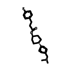 CN(C)Cc1ccc([C@H]2CC[C@H](OC(=O)CCc3ccc(F)cc3)CC2)cc1